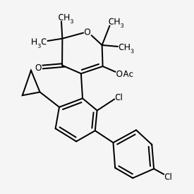 CC(=O)OC1=C(c2c(C3CC3)ccc(-c3ccc(Cl)cc3)c2Cl)C(=O)C(C)(C)OC1(C)C